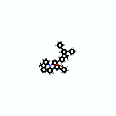 CC1(C)c2ccccc2-c2c(N(c3ccc(-c4ccc5c(c4)-c4cc(-c6ccccc6)cc(-c6ccccc6)c4C5(C)C)cc3)c3ccccc3-c3ccc4sc5ccccc5c4c3)cccc21